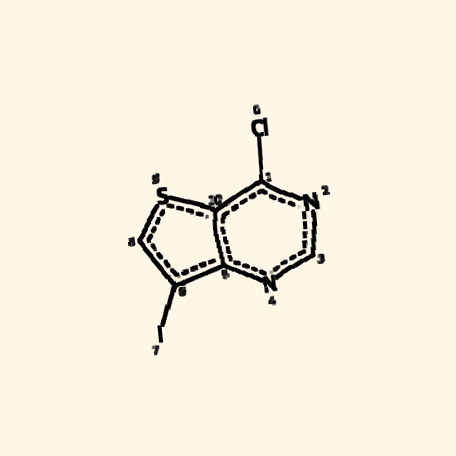 Clc1ncnc2c(I)csc12